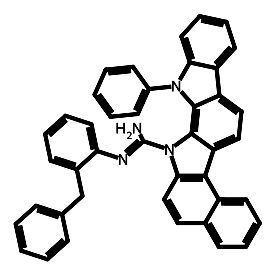 N/C(=N\c1ccccc1Cc1ccccc1)n1c2ccc3ccccc3c2c2ccc3c4ccccc4n(-c4ccccc4)c3c21